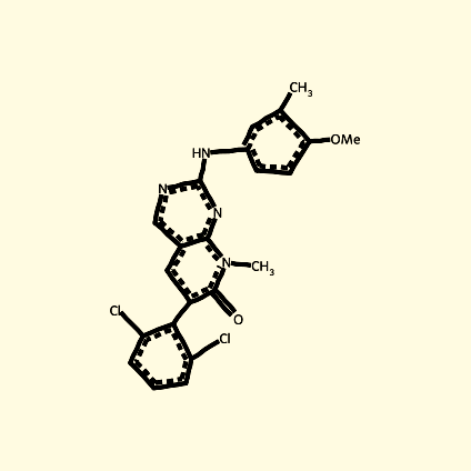 COc1ccc(Nc2ncc3cc(-c4c(Cl)cccc4Cl)c(=O)n(C)c3n2)cc1C